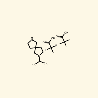 CC(C)N1CCC2(CCNC2)C1.O=C(O)C(F)(F)F.O=C(O)C(F)(F)F